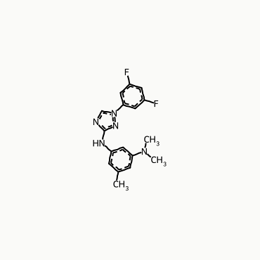 Cc1cc(Nc2ncn(-c3cc(F)cc(F)c3)n2)cc(N(C)C)c1